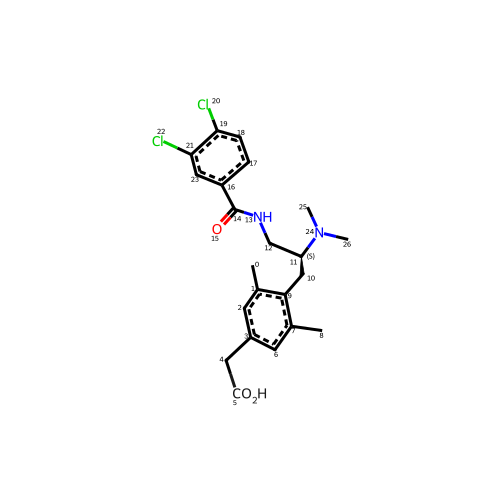 Cc1cc(CC(=O)O)cc(C)c1C[C@@H](CNC(=O)c1ccc(Cl)c(Cl)c1)N(C)C